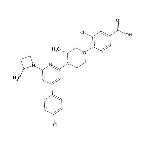 CC1CCN1c1nc(-c2ccc(Cl)cc2)cc(N2CCN(c3ncc(C(=O)O)cc3Cl)C[C@H]2C)n1